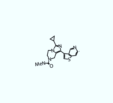 CNC(=O)N1CCn2c(C3CC3)nc(-c3csc4c[c]ncc34)c2C1